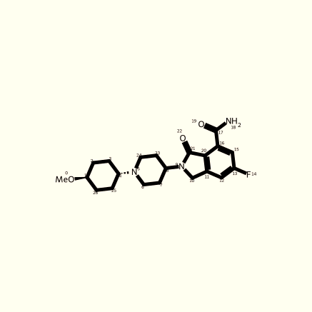 CO[C@H]1CC[C@H](N2CCC(N3Cc4cc(F)cc(C(N)=O)c4C3=O)CC2)CC1